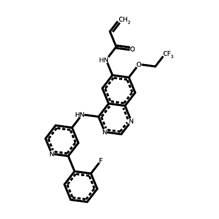 C=CC(=O)Nc1cc2c(Nc3ccnc(-c4ccccc4F)c3)ncnc2cc1OCC(F)(F)F